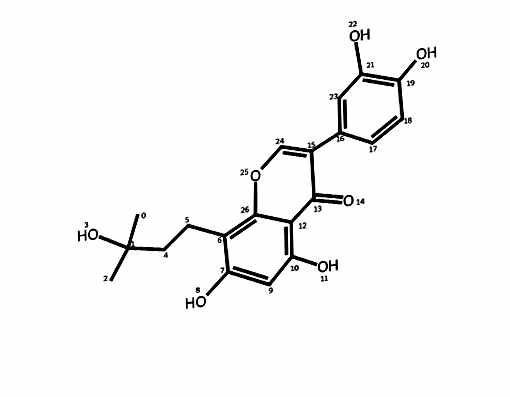 CC(C)(O)CCc1c(O)cc(O)c2c(=O)c(-c3ccc(O)c(O)c3)coc12